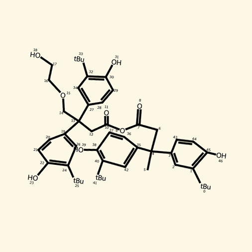 CC(C)(C)c1cc(C(C)(CC(=O)OC(=O)CC(COCCO)(c2ccc(O)c(C(C)(C)C)c2)c2ccc(O)c(C(C)(C)C)c2)c2ccc(O)c(C(C)(C)C)c2)ccc1O